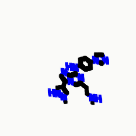 CNCCc1cn2c(C3=CN(C)NC3)cnc2c(Nc2ccc(-n3ccnc3)cc2)n1